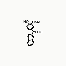 COc1cc(C(C=O)c2cnc3ccccc3c2)ccc1O